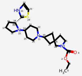 CCOC(=O)N1CCC2(CC(N3CCC(N4CCC[C@@H]4C4NC=CS4)CC3)C2)C1